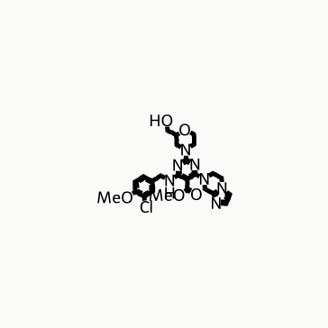 COC(=O)c1c(NCc2ccc(OC)c(Cl)c2)nc(N2CCOC(CO)C2)nc1N1CCn2ccnc2C1